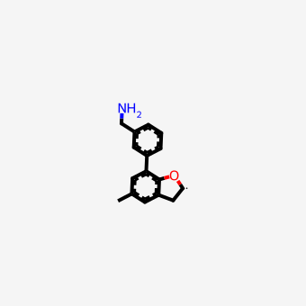 Cc1cc2c(c(-c3cccc(CN)c3)c1)O[CH]C2